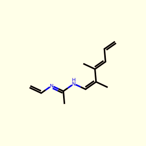 C=C/C=C(C)/C(C)=C\N/C(C)=N/C=C